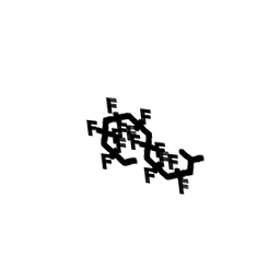 CCC(F)(F)CC(F)(F)CC(F)(F)CC(F)(F)CC(F)(F)CC(F)(F)CC(F)(F)CC(C)C